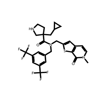 Cn1ccc2cc(CN(Cc3cc(C(F)(F)F)cc(C(F)(F)F)c3)C(=O)C3(CC4CC4)CCNC3)sc2c1=O